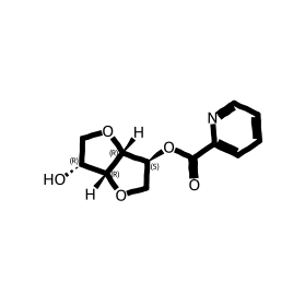 O=C(O[C@H]1CO[C@H]2[C@@H]1OC[C@H]2O)c1ccccn1